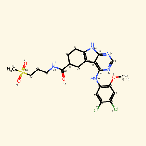 COc1cc(Cl)c(Cl)cc1Nc1ncnc2[nH]c3c(c12)CC(C(=O)NCCCS(C)(=O)=O)CC3